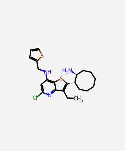 CCc1c([C@H]2CCCCCC[C@@H]2N)sc2c(NCc3cccs3)cc(Cl)nc12